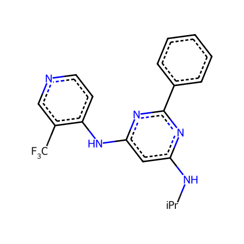 CC(C)Nc1cc(Nc2ccncc2C(F)(F)F)nc(-c2ccccc2)n1